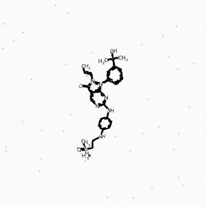 C/C=C/n1c(=O)c2cnc(Nc3ccc(NCC[SH](C)(C)=O)cc3)nc2n1-c1cccc(C(C)(C)O)c1